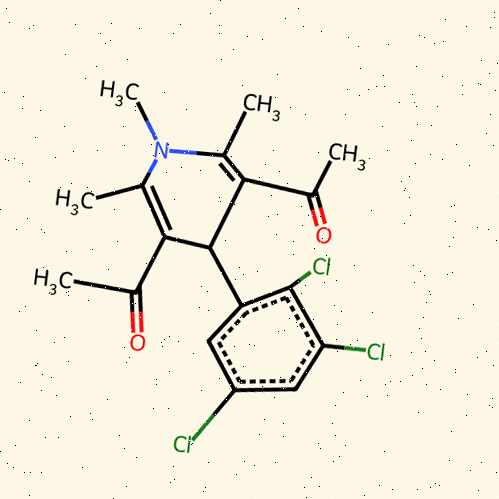 CC(=O)C1=C(C)N(C)C(C)=C(C(C)=O)C1c1cc(Cl)cc(Cl)c1Cl